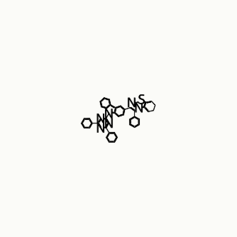 C1=c2sc3nc(-c4ccc5c(c4)c4ccccc4n5-c4nc(-c5ccccc5)nc(-c5ccccc5)n4)c(-c4ccccc4)n3c2=CCC1